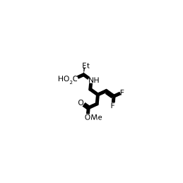 CC[C@H](NCC(C=C(F)F)CC(=O)OC)C(=O)O